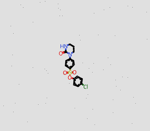 O=C1NCCCN1c1ccc(S(=O)(=O)Oc2ccc(Cl)cc2)cc1